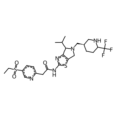 CCS(=O)(=O)c1ccc(CC(=O)Nc2nc3c(s2)CN(C[C@@H]2CCC(C(F)(F)F)NC2)C3C(C)C)nc1